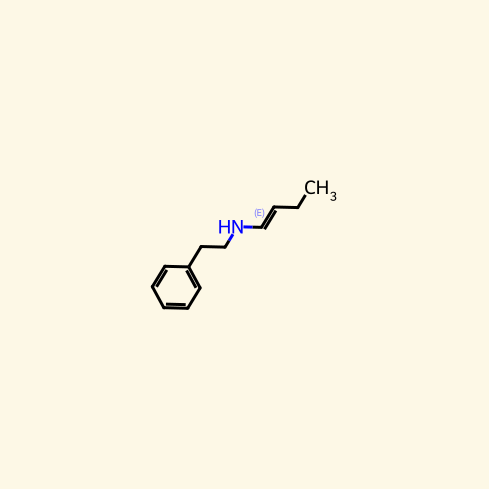 CC/C=C/NCCc1ccccc1